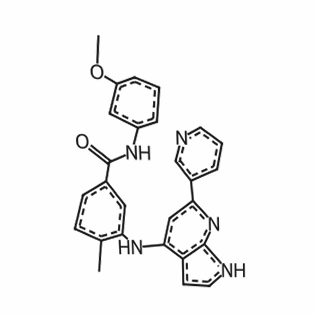 COc1cccc(NC(=O)c2ccc(C)c(Nc3cc(-c4cccnc4)nc4[nH]ccc34)c2)c1